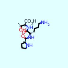 C[C@@H](O)[C@H](NC(=O)[C@H](CCCCN)NC(=O)[C@@H]1CCCN1)C(=O)O